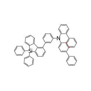 c1ccc(-c2ccc(N(c3cccc(-c4cccc5c4-c4ccccc4[Si]5(c4ccccc4)c4ccccc4)c3)c3ccccc3-c3ccccc3)cc2)cc1